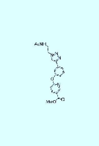 COC(=O)c1ccc(Oc2cccc(-c3cn(CCNC(C)=O)nn3)c2)nc1